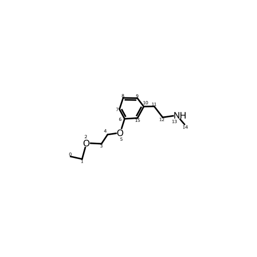 CCOCCOc1cccc(CCNC)c1